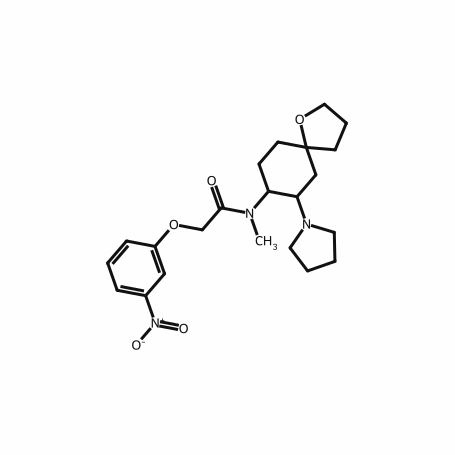 CN(C(=O)COc1cccc([N+](=O)[O-])c1)C1CCC2(CCCO2)CC1N1CCCC1